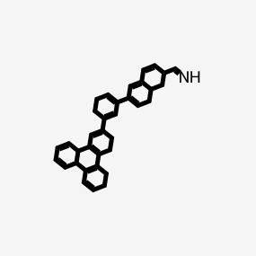 N=CC1C=CC2=CC(C3=CCCC(C4=CC5=C(CC4)C4=C(C=CCC4)C4C=CC=CC54)=C3)=CCC2C1